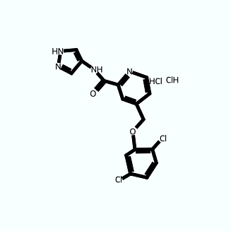 Cl.Cl.O=C(Nc1cn[nH]c1)c1cc(COc2cc(Cl)ccc2Cl)ccn1